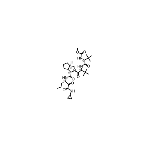 CCC[C@H](NC(=O)[C@@H]1C2CCC[C@H]2CN1C(=O)[C@@H](NC(=O)[C@@H](NC(=O)OC)C(C)(C)C)C(C)(C)C)C(=O)C(=O)NC1CC1